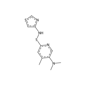 Cc1cc(SNc2cscn2)ncc1N(C)C